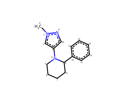 Cn1cc(N2CCCCC2c2ccccc2)cn1